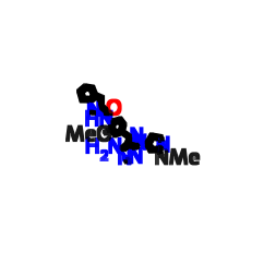 CNc1cc(-n2nc(-c3ccc(NC(=O)c4cc5ccccc5n4C)c(OC)c3)c3c(N)ncnc32)ccn1